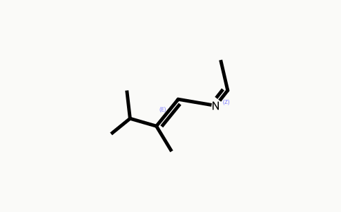 C/C=N\C=C(/C)C(C)C